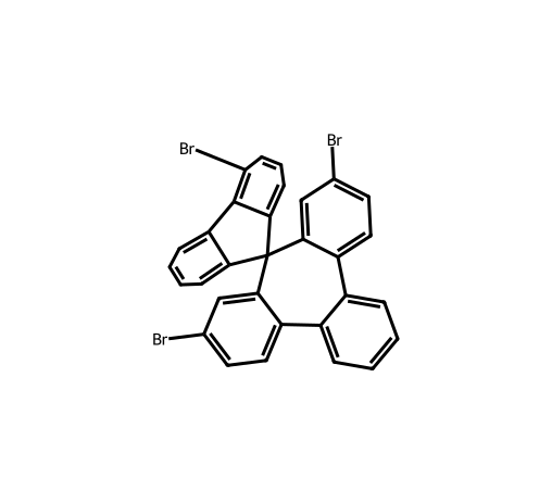 Brc1ccc2c(c1)C1(c3cc(Br)ccc3-c3ccccc3-2)c2ccccc2-c2c(Br)cccc21